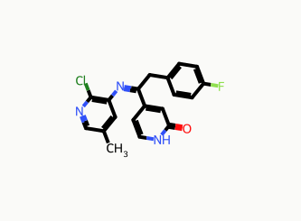 Cc1cnc(Cl)c(N=C(Cc2ccc(F)cc2)c2cc[nH]c(=O)c2)c1